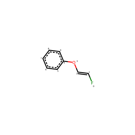 FC=COc1ccccc1